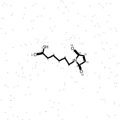 O=C(S)CCCCCN1C(=O)C=CC1=O